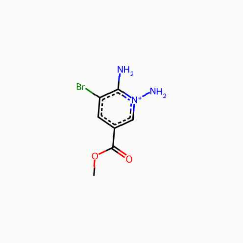 COC(=O)c1cc(Br)c(N)[n+](N)c1